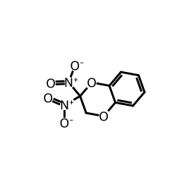 O=[N+]([O-])C1([N+](=O)[O-])COc2ccccc2O1